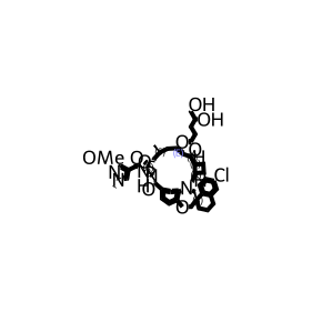 COc1nn(C)cc1C(=O)N[S@@]1(=O)=NC(=O)c2ccc3c(c2)N(C[C@@H]2CC[C@H]2[C@@H](OC(=O)CCC(O)CO)/C=C/C[C@H](C)C1)C[C@@]1(CCCc2cc(Cl)ccc21)CO3